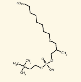 CCCCCCCCCCCCCCCCCSCC(C)COP(=O)(O)OCC[N+](C)(C)C